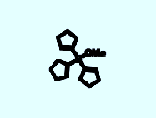 CO[Si](C1=CCCC1)(C1=CCCC1)C1=CCCC1